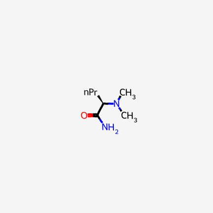 CCC[C@H](C(N)=O)N(C)C